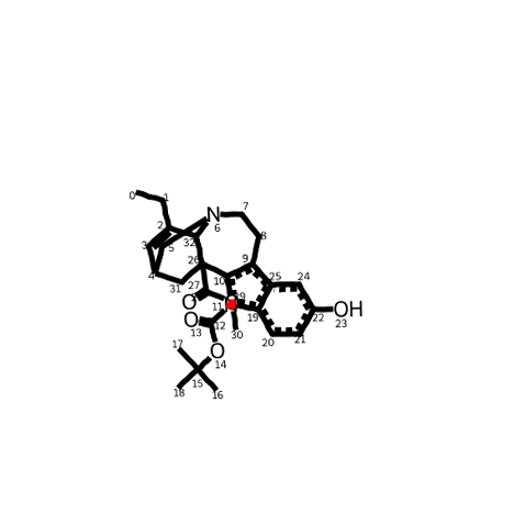 CCC1=CC2CN3CCc4c(n(C(=O)OC(C)(C)C)c5ccc(O)cc45)C(C(=O)OC)(C2)C13